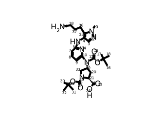 Cn1ncc(Nc2cccc(N(C(=O)OC(C)(C)C)[C@H]3C[C@@H](C(=O)O)N(C(=O)OC(C)(C)C)C3)n2)c1CCCN